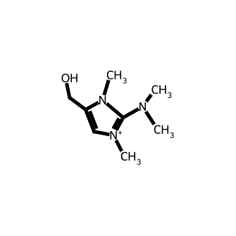 CN(C)c1n(C)c(CO)c[n+]1C